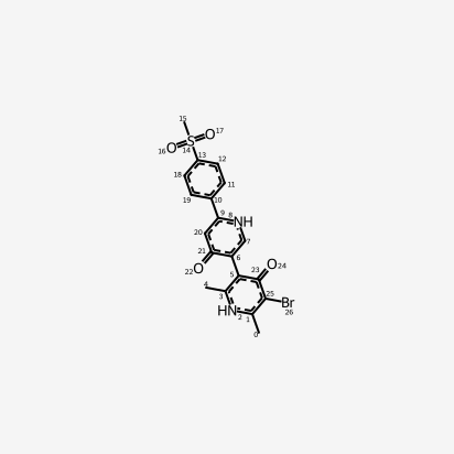 Cc1[nH]c(C)c(-c2c[nH]c(-c3ccc(S(C)(=O)=O)cc3)cc2=O)c(=O)c1Br